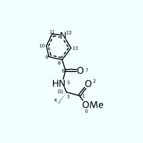 COC(=O)[C@H](C)NC(=O)c1cccnc1